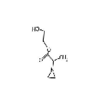 CC(C(=O)OCCO)N1CC1